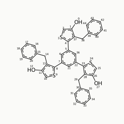 Oc1csc(-c2cc(-c3scc(O)c3Cc3ccccc3)cc(-c3scc(O)c3Cc3ccccc3)c2)c1Cc1ccccc1